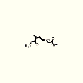 CNC(=O)CNCCN(C)C(=O)CN